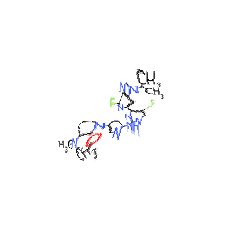 CC(C)n1cnc2c(F)nc(-c3nc(Nc4ccc(N5CCCC(N(C)C)C5=O)cn4)ncc3F)cc21